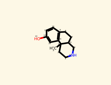 CC12CCNCC1CCc1ccc(O)cc12